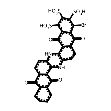 O=c1c2ccccc2c(=O)c2c1ccc1[nH]c3c(ccc4c(=O)c5c(Br)c(S(=O)(=O)O)c(S(=O)(=O)O)c(S(=O)(=O)O)c5c(=O)c43)[nH]c12